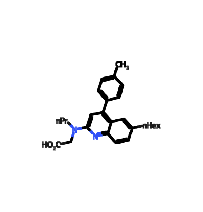 CCCCCCc1ccc2nc(N(CCC)CC(=O)O)cc(-c3ccc(C)cc3)c2c1